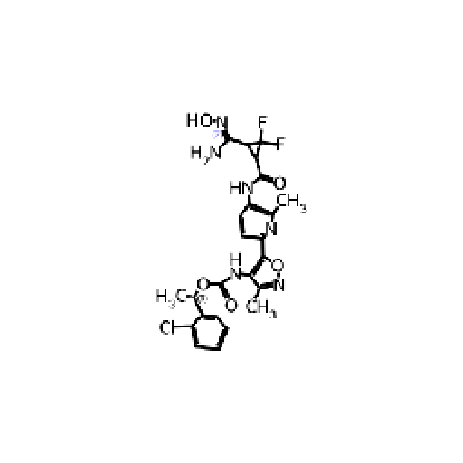 Cc1nc(-c2onc(C)c2NC(=O)O[C@H](C)c2ccccc2Cl)ccc1NC(=O)C1C(/C(N)=N/O)C1(F)F